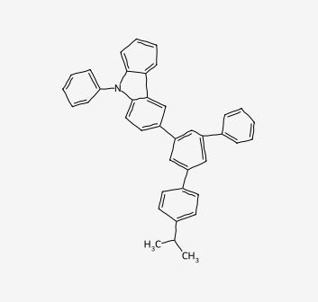 CC(C)c1ccc(-c2cc(-c3ccccc3)cc(-c3ccc4c(c3)c3ccccc3n4-c3ccccc3)c2)cc1